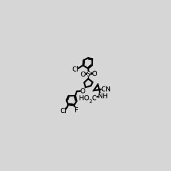 N#CC1(NC(=O)O)CC1.O=S(=O)(c1ccccc1Cl)[C@H]1CC[C@H](OCc2ccc(Cl)c(F)c2)C1